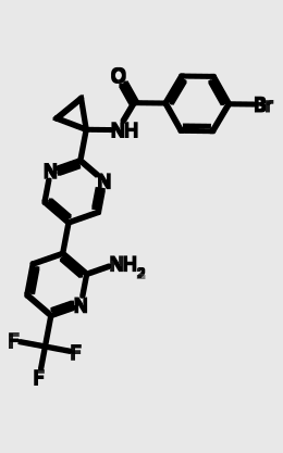 Nc1nc(C(F)(F)F)ccc1-c1cnc(C2(NC(=O)c3ccc(Br)cc3)CC2)nc1